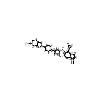 CCN1CCc2cn(-c3ccc(-c4nc(Nc5ccc6[nH]ncc6c5C5CC5)n(C)n4)cc3)nc2C1